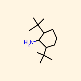 CC(C)(C)C1CCCC(C(C)(C)C)C1N